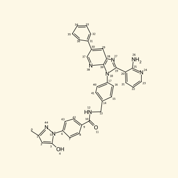 Cc1cc(O)n(-c2ccc(C(=O)NCc3ccc(-n4c(-c5cccnc5N)nc5cc(-c6ccccc6)cnc54)cc3)cc2)n1